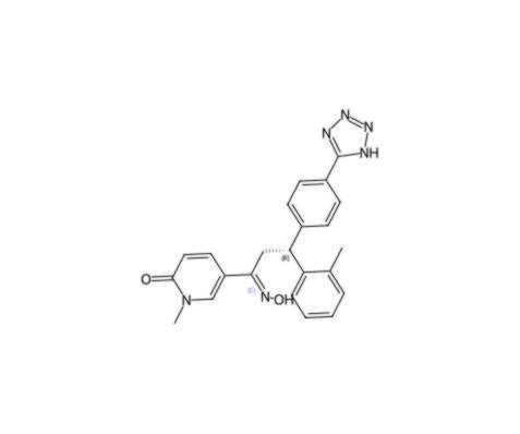 Cc1ccccc1[C@H](C/C(=N\O)c1ccc(=O)n(C)c1)c1ccc(-c2nnn[nH]2)cc1